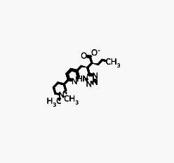 CCC[C@H](C(=O)[O-])[C@H](Cc1ccc(C2CCC[N+](C)(C)C2)nc1)c1nnn[nH]1